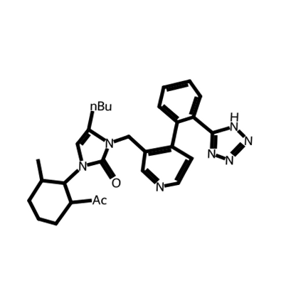 CCCCc1cn(C2C(C)CCCC2C(C)=O)c(=O)n1Cc1cnccc1-c1ccccc1-c1nnn[nH]1